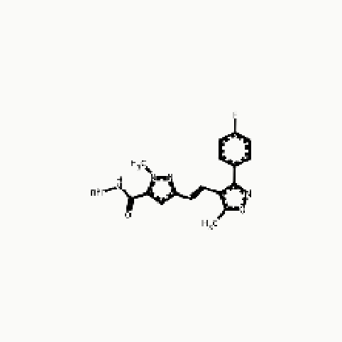 CCCNC(=O)c1cc(C=Cc2c(-c3ccc(F)cc3)noc2C)nn1C